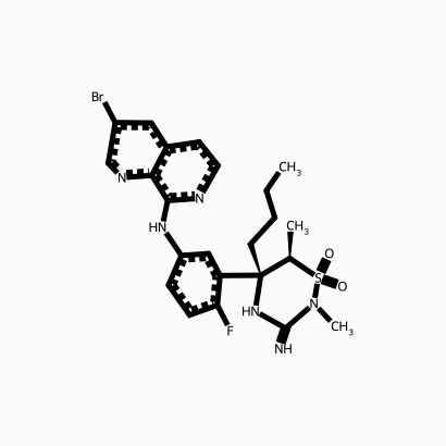 CCCC[C@]1(c2cc(Nc3nccc4cc(Br)cnc34)ccc2F)NC(=N)N(C)S(=O)(=O)[C@@H]1C